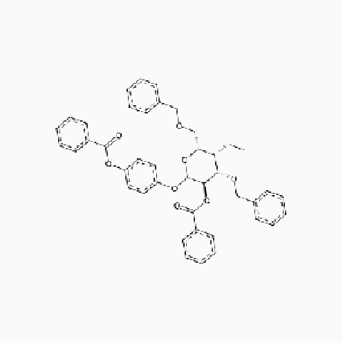 CC[C@@H]1[C@H](OCc2ccccc2)[C@@H](OC(=O)c2ccccc2)C(Oc2ccc(OC(=O)c3ccccc3)cc2)O[C@@H]1COCc1ccccc1